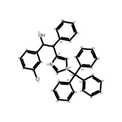 OC(c1cccc(Cl)c1)C(c1ccccc1)c1cn(C(c2ccccc2)(c2ccccc2)c2ccccc2)cn1